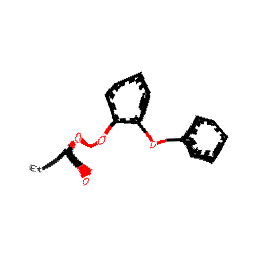 CCC(=O)OOc1ccccc1Oc1ccccc1